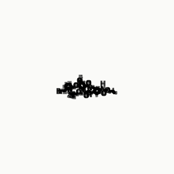 C=CCOC(=O)Nc1ccc2c(c1)CN1C(=O)c3cc(OC)c(OCc4cccc(CBr)n4)cc3N(COCC[Si](C)(C)C)C(=O)[C@@H]1C2